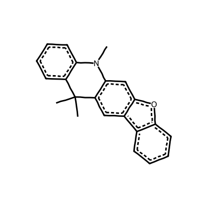 CN1c2ccccc2C(C)(C)c2cc3c(cc21)oc1ccccc13